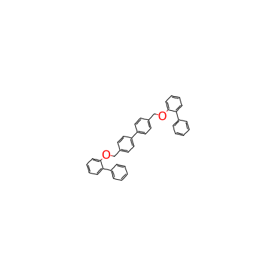 c1ccc(-c2ccccc2OCc2ccc(-c3ccc(COc4ccccc4-c4ccccc4)cc3)cc2)cc1